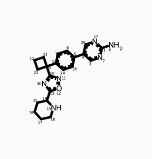 Nc1ncc(-c2ccc(C3(c4noc(C5CCCCN5)n4)CCC3)cc2)cn1